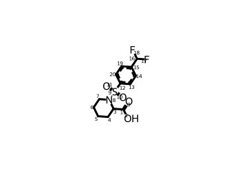 O=C(O)C1CCCCN1S(=O)(=O)c1ccc(C(F)F)cc1